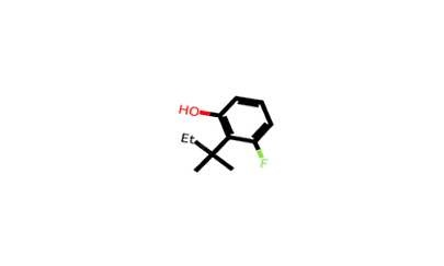 CCC(C)(C)c1c(O)cccc1F